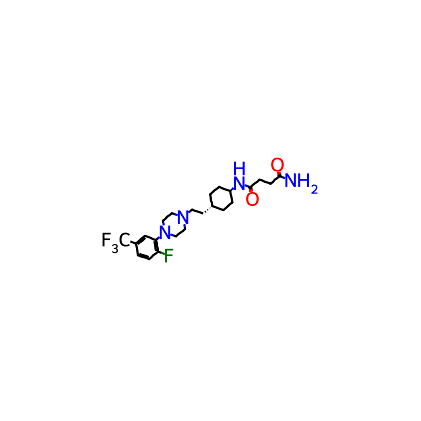 NC(=O)CCC(=O)N[C@H]1CC[C@H](CCN2CCN(c3cc(C(F)(F)F)ccc3F)CC2)CC1